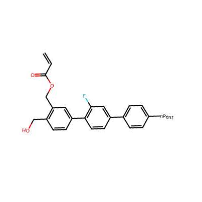 C=CC(=O)OCc1cc(-c2ccc(-c3ccc(CCCCC)cc3)cc2F)ccc1CO